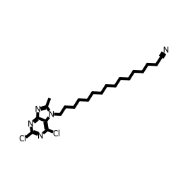 Cc1nc2nc(Cl)nc(Cl)c2n1CCCCCCCCCCCCCCCC#N